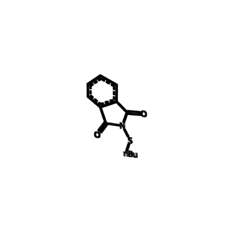 CCCCSN1C(=O)c2ccccc2C1=O